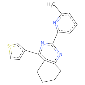 Cc1cccc(-c2nc3c(c(-c4ccsc4)n2)CCCC3)n1